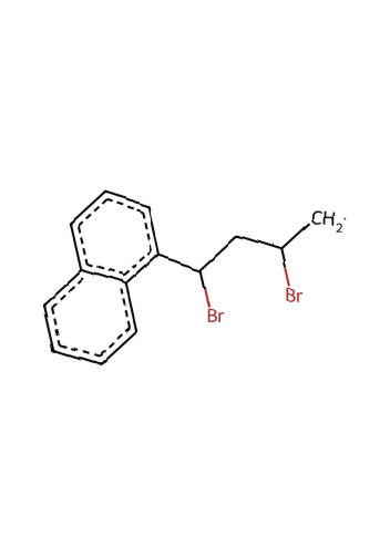 [CH2]C(Br)CC(Br)c1cccc2ccccc12